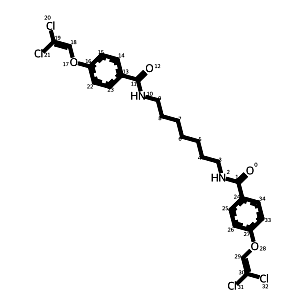 O=C(NCCCCCCCNC(=O)c1ccc(OC=C(Cl)Cl)cc1)c1ccc(OC=C(Cl)Cl)cc1